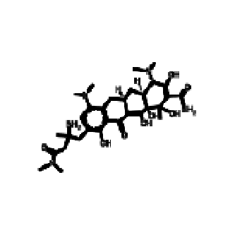 CN(C)C(=O)CC(C)(N)Cc1cc(N(C)C)c2c(c1O)C(=O)C1=C(O)[C@@]3(O)[C@@H](C[C@@H]1C2)[C@H](N(C)C)C(O)=C(C(N)=O)C3(C)O